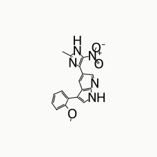 COc1ccccc1-c1c[nH]c2ncc(-c3nc(C)[nH]c3[N+](=O)[O-])cc12